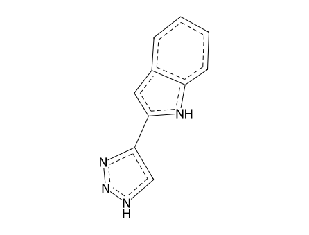 c1ccc2[nH]c(-c3c[nH]nn3)cc2c1